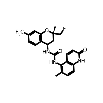 Cc1ccc2[nH]c(=O)ccc2c1NC(=O)N[C@@H]1C[C@@](C)(CF)Oc2cc(C(F)(F)F)ccc21